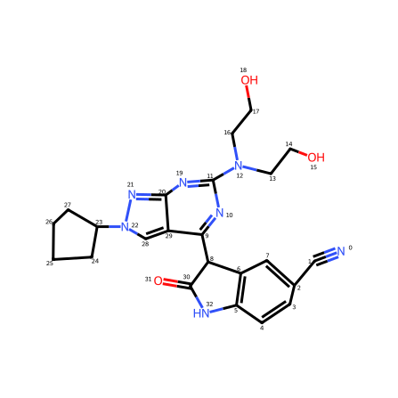 N#Cc1ccc2c(c1)C(c1nc(N(CCO)CCO)nc3nn(C4CCCC4)cc13)C(=O)N2